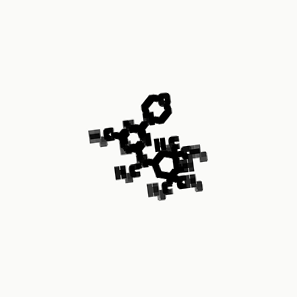 Cc1nc(N2CCOCC2)nc(N(C)C2CC(C)(C)NC(C)(C)C2)n1